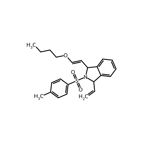 C=CC1c2ccccc2C(C=COCCCC)N1S(=O)(=O)c1ccc(C)cc1